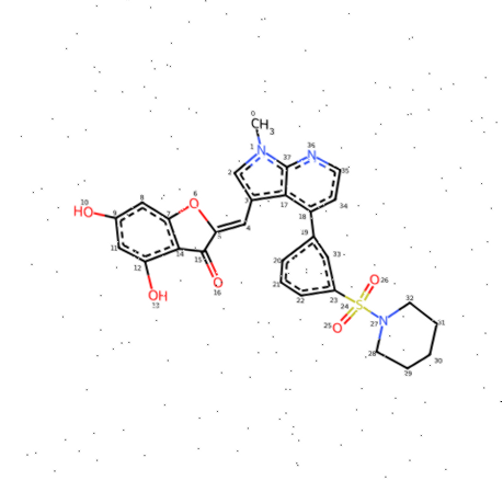 Cn1cc(C=C2Oc3cc(O)cc(O)c3C2=O)c2c(-c3cccc(S(=O)(=O)N4CCCCC4)c3)ccnc21